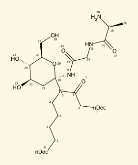 CCCCCCCCCCCCCCN(C(=O)CCCCCCCCCCC)[C@@]1(NC(=O)CNC(=O)[C@H](C)N)C[C@@H](O)[C@H](O)[C@@H](CO)O1